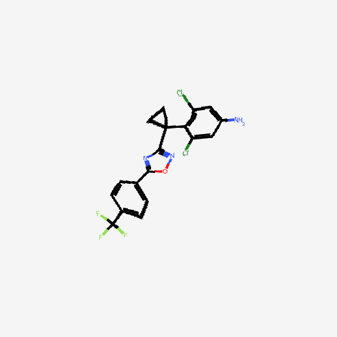 Nc1cc(Cl)c(C2(c3noc(-c4ccc(C(F)(F)F)cc4)n3)CC2)c(Cl)c1